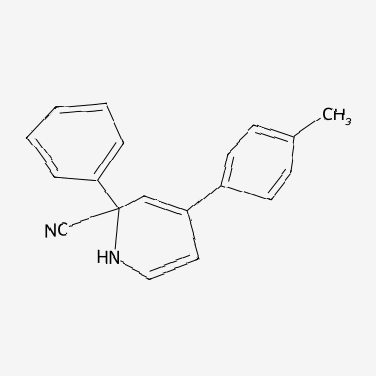 Cc1ccc(C2=CC(C#N)(c3ccccc3)NC=C2)cc1